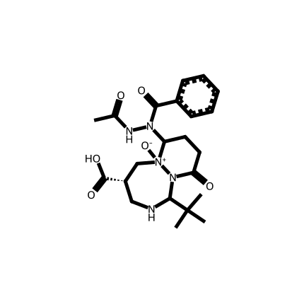 CC(=O)NN(C(=O)c1ccccc1)C1CCC(=O)N2C(C(C)(C)C)NC[C@H](C(=O)O)C[N+]12[O-]